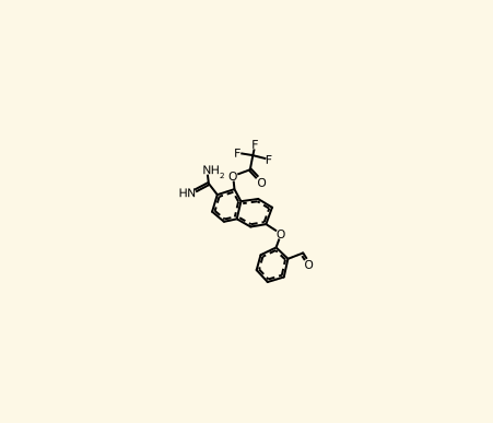 N=C(N)c1ccc2cc(Oc3ccccc3C=O)ccc2c1OC(=O)C(F)(F)F